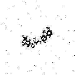 CC1C(C(=O)NCCCN2CCN(c3cccc(Cl)c3F)CC2)C=C(C(C)(C)C)N1C